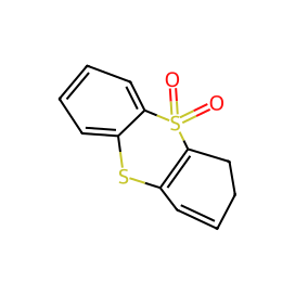 O=S1(=O)C2=C(C=CCC2)Sc2ccccc21